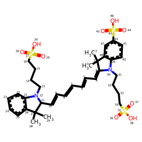 CC1(C)\C(=C/C=C/C=C/C=C/C2N(CCCCS(=O)(=O)O)c3ccccc3C2(C)C)N(CCCCS(=O)(=O)O)c2ccc(S(=O)(=O)O)cc21